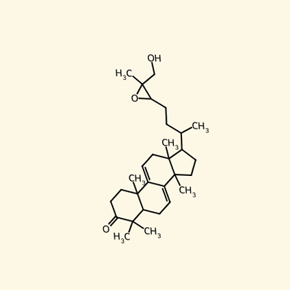 CC(CCC1OC1(C)CO)C1CCC2(C)C3=CCC4C(C)(C)C(=O)CCC4(C)C3=CCC12C